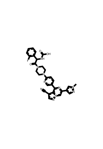 Cn1cc(-c2cn3ncc(C#N)c3c(-c3ccc(N4CCN(C(=O)C(NC(=O)O)c5ccccc5F)CC4)nc3)n2)cn1